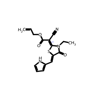 C=CCOC(=O)/C(C#N)=c1\sc(=Cc2ccc[nH]2)c(=O)n1CC